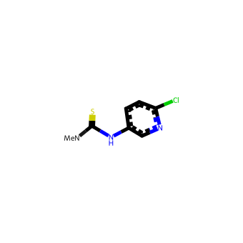 CNC(=S)Nc1ccc(Cl)nc1